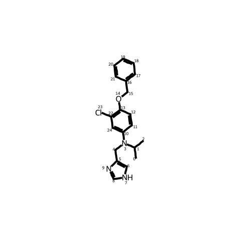 CC(C)N(Cc1c[nH]cn1)c1ccc(OCc2ccccc2)c(Cl)c1